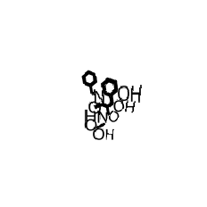 O=C(O)CNC(=O)c1c(O)c2c(O)cccc2n(Cc2ccccc2)c1=O